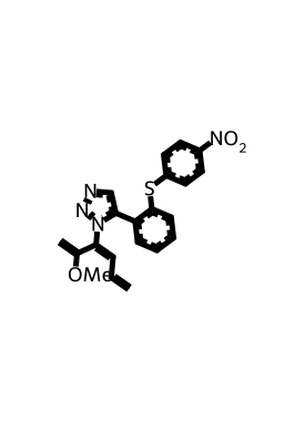 C=C/C=C(\C(=C)OC)n1nncc1-c1ccccc1Sc1ccc([N+](=O)[O-])cc1